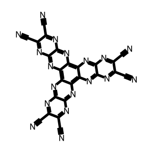 N#Cc1nc2nc3c4nc5nc(C#N)c(C#N)nc5nc4c4nc5nc(C#N)c(C#N)nc5nc4c3nc2nc1C#N